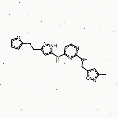 Cc1cc(CNc2nccc(Nc3cc(CCc4ccco4)n[nH]3)n2)on1